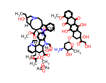 CC[C@]1(O)C[C@H]2CN(CCc3c([nH]c4ccccc34)[C@@](C(=O)OC)(c3cc4c(cc3OC)N(C=O)[C@H]3[C@@](O)(C(=O)OC)[C@H](OC(C)=O)[C@]5(CC)C=CCN6CC[C@]43[C@@H]65)C2)C1.COc1cccc2c1C(=O)c1c(O)c3c(c(O)c1C2=O)C[C@@](O)(C(=O)CO)C[C@@H]3O[C@H]1C[C@H](N)[C@H](O)[C@H](C)O1.O1[As]2O[As]1O2